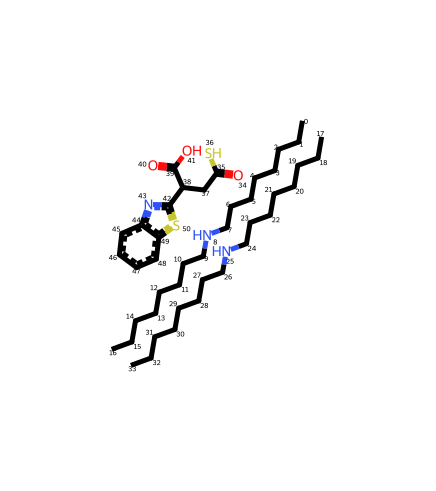 CCCCCCCCNCCCCCCCC.CCCCCCCCNCCCCCCCC.O=C(S)CC(C(=O)O)c1nc2ccccc2s1